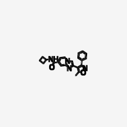 Cc1onc(-c2ccccc2)c1-c1cn2ccc(C(=O)NC3CCC3)cc2n1